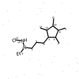 CCN(CCCC1C(C)C(C)C(C)C1C)NCl